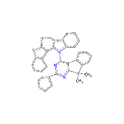 CC1(C)c2ccccc2-c2c(-n3c4ccccc4c4ccc5sc6ccccc6c5c43)nc(-c3ccccc3)nc21